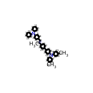 C/C(=C\c1ccc(N(c2ccccc2)c2ccccc2)cc1)c1ccc(-c2ccc(N(c3ccc(C)cc3)c3ccc(C)cc3)cc2)cc1